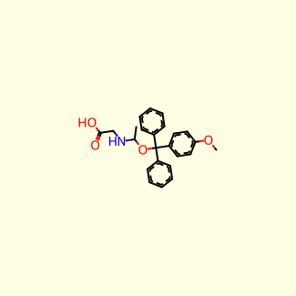 COc1ccc(C(OC(C)NCC(=O)O)(c2ccccc2)c2ccccc2)cc1